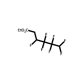 CCOC(=O)CC(F)C(F)(F)C(F)(F)C(F)F